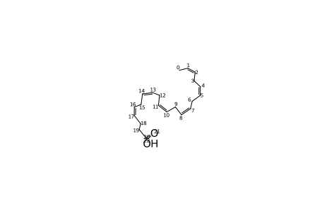 C/C=C\C/C=C\C/C=C\C/C=C\C/C=C\C/C=C\CCC(=O)O